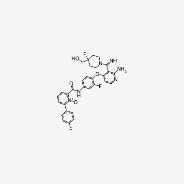 N=C(c1c(Oc2ccc(NC(=O)c3cccc(-c4ccc(F)cc4)[n+]3[O-])cc2F)ccnc1N)N1CCC(F)(CO)CC1